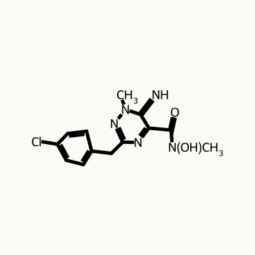 CN(O)C(=O)c1nc(Cc2ccc(Cl)cc2)nn(C)c1=N